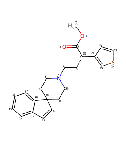 COC(=O)[C@@H](CCN1CCC2(C=Cc3ccccc32)CC1)c1ccsc1